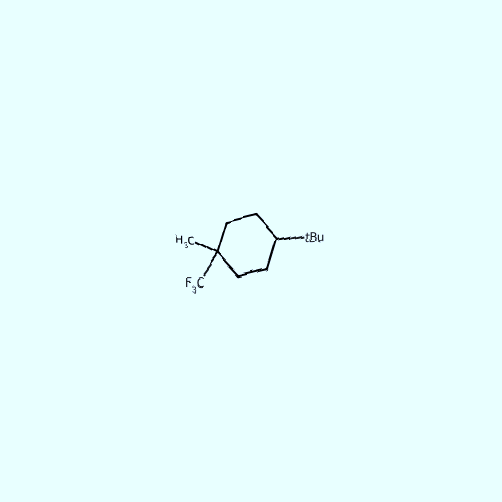 CC(C)(C)C1CCC(C)(C(F)(F)F)CC1